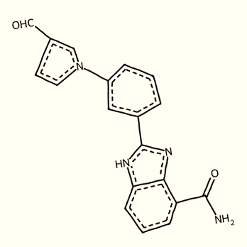 NC(=O)c1cccc2[nH]c(-c3cccc(-n4ccc(C=O)c4)c3)nc12